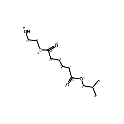 CC(C)COC(=O)CCCCC(=O)OCCO